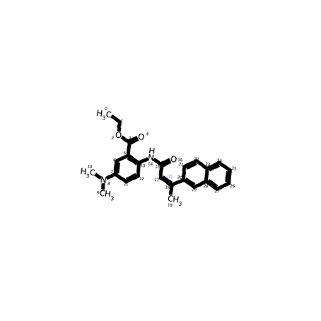 CCOC(=O)c1cc(N(C)C)ccc1NC(=O)/C=C(/C)c1ccc2ccccc2c1